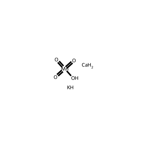 [CaH2].[KH].[O]=[Mn](=[O])(=[O])[OH]